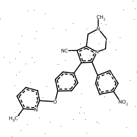 Cc1cccc(Oc2ccc(-c3c(C#N)c4n(c3-c3ccc([N+](=O)[O-])cc3)CCN(C)C4)cc2)n1